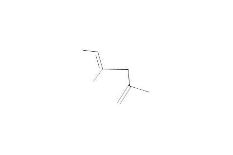 C=C(C)C/C(C)=C/C